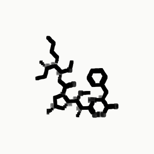 CCCC[C@@H]([C@@H](C)CC)[C@@H](CC(=O)N1C[C@@H](F)C[C@H]1[C@H](OC)[C@@H](C)C(=O)N[C@@H](Cc1ccccc1)C(=O)O)OC